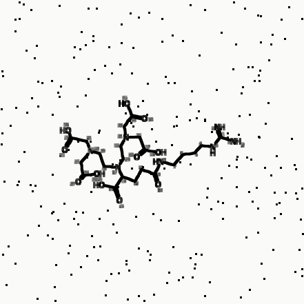 N=C(N)NCCCCNC(=O)CCC(C(=O)O)N(CCN(CC(=O)O)CC(=O)O)CCN(CC(=O)O)CC(=O)O